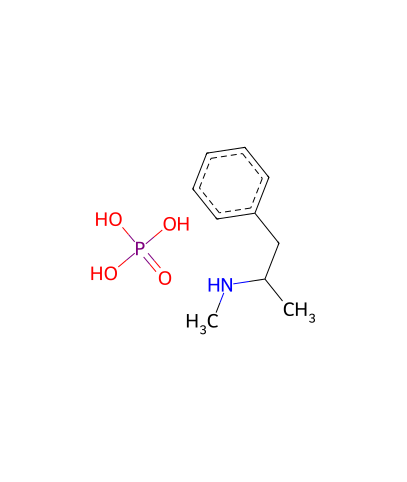 CNC(C)Cc1ccccc1.O=P(O)(O)O